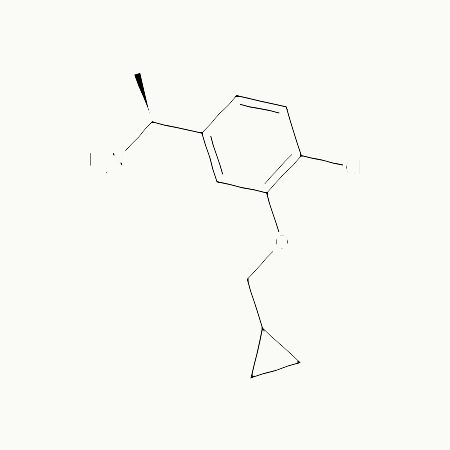 C[C@H](N)c1ccc(Cl)c(OCC2CC2)c1